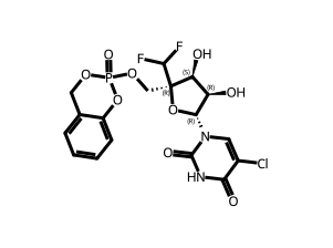 O=c1[nH]c(=O)n([C@@H]2O[C@@](COP3(=O)OCc4ccccc4O3)(C(F)F)[C@@H](O)[C@H]2O)cc1Cl